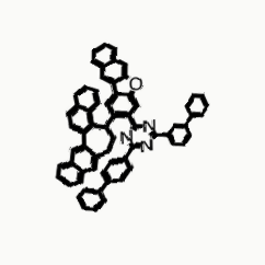 c1ccc(-c2ccc(-c3nc(-c4cccc(-c5ccccc5)c4)nc(-c4cc5oc6cc7ccccc7cc6c5cc4C4CCc5cc6ccccc6cc5-c5ccc6ccccc6c54)n3)cc2)cc1